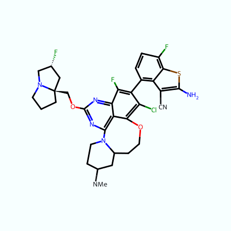 CNC1CCN2c3nc(OC[C@@]45CCCN4C[C@H](F)C5)nc4c(F)c(-c5ccc(F)c6sc(N)c(C#N)c56)c(Cl)c(c34)OCCC2C1